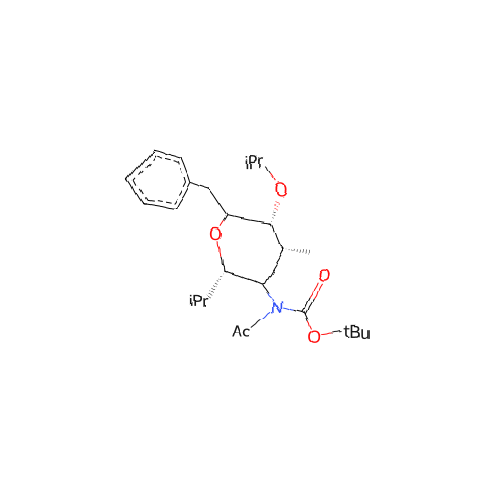 CC(=O)N(C(=O)OC(C)(C)C)C1[C@H](C(C)C)OC(Cc2ccccc2)[C@H](OC(C)C)[C@@H]1C